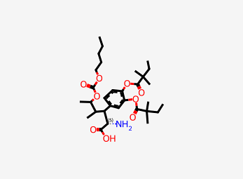 CCCCCOC(=O)OC(C)C(C)C(c1ccc(OC(=O)C(C)(C)CC)c(OC(=O)C(C)(C)CC)c1)[C@H](N)C(=O)O